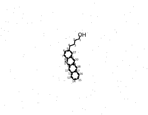 OCCCCc1ccc2nc3cc4ccccc4cc3cc2c1